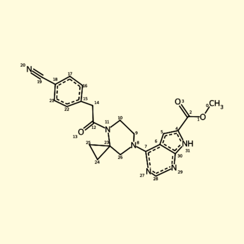 COC(=O)c1cc2c(N3CCN(C(=O)Cc4ccc(C#N)cc4)C4(CC4)C3)ncnc2[nH]1